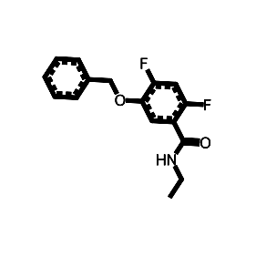 CCNC(=O)c1cc(OCc2ccccc2)c(F)cc1F